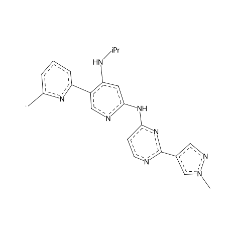 [CH2]c1cccc(-c2cnc(Nc3ccnc(-c4cnn(C)c4)n3)cc2NC(C)C)n1